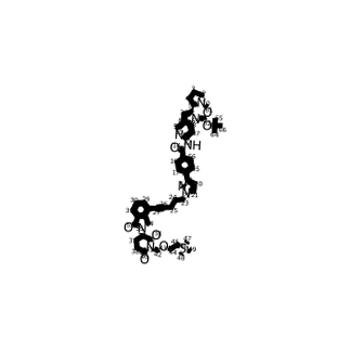 CN1CCC[C@@H]1c1cc2cnc(NC(=O)c3ccc(-c4ccn(CCCC#Cc5cccc6c5CN(C5CCC(=O)N(COCC[Si](C)(C)C)C5=O)C6=O)n4)cc3)cc2n1C(=O)OC(C)(C)C